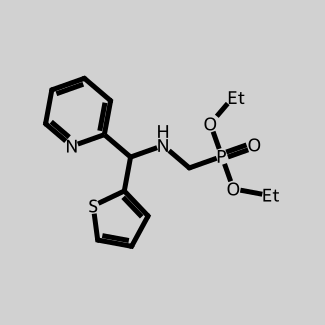 CCOP(=O)(CNC(c1ccccn1)c1cccs1)OCC